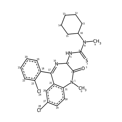 CN1C(=O)C(NC(=S)N(C)C2CCCCC2)N=C(c2ccccc2Cl)c2cc(Cl)ccc21